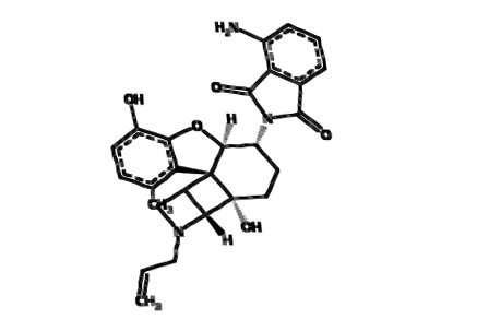 C=CCN1CC2[C@@H]1[C@]1(O)CC[C@@H](N3C(=O)c4cccc(N)c4C3=O)[C@@H]3Oc4c(O)ccc(C)c4[C@@]231